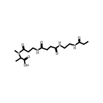 CCC(=O)NCCNC(=O)CCC(=O)NCCC(=O)N(C)C(C)C(=O)O